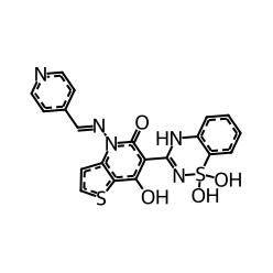 O=c1c(C2=NS(O)(O)c3ccccc3N2)c(O)c2sccc2n1/N=C/c1ccncc1